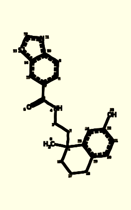 CC1(CCNC(=O)c2ccc3ncsc3c2)CCCc2ccc(O)cc21